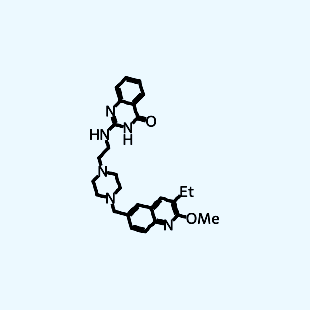 CCc1cc2cc(CN3CCN(CCNc4nc5ccccc5c(=O)[nH]4)CC3)ccc2nc1OC